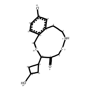 O=C1CCNCCc2cc(Cl)ccc2CCC1C1CC(O)C1